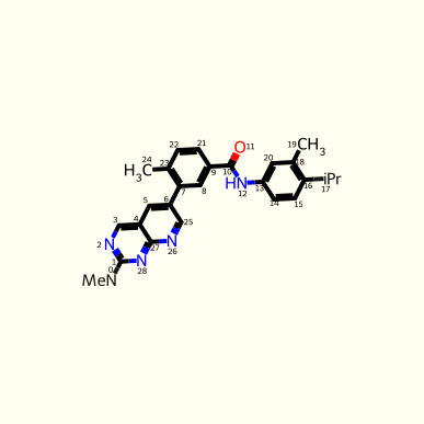 CNc1ncc2cc(-c3cc(C(=O)Nc4ccc(C(C)C)c(C)c4)ccc3C)cnc2n1